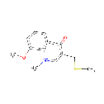 COc1cccc2c(=O)c(CSC)cn(C)c12